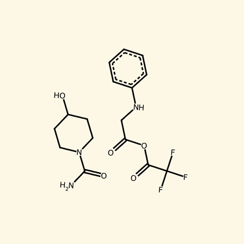 NC(=O)N1CCC(O)CC1.O=C(CNc1ccccc1)OC(=O)C(F)(F)F